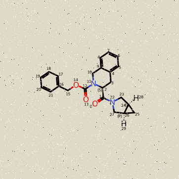 O=C([C@@H]1Cc2ccccc2CN1C(=O)OCc1ccccc1)N1C[C@H]2C[C@H]2C1